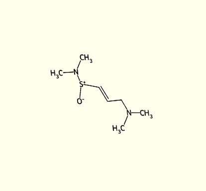 CN(C)C/C=C/[S+]([O-])N(C)C